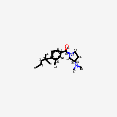 CCCC(C)(C)c1ccc(C(=O)N2CC[C@H](N(C)C)C2)cc1C